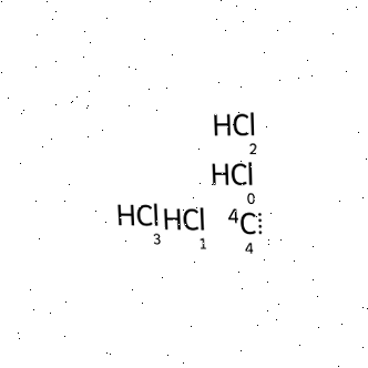 Cl.Cl.Cl.Cl.[4C]